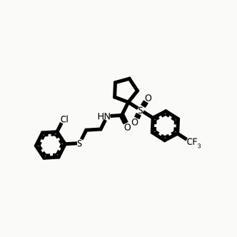 O=C(NCCSc1ccccc1Cl)C1(S(=O)(=O)c2ccc(C(F)(F)F)cc2)CCCC1